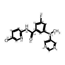 CN(c1cncnc1)c1cc(F)cc(C(=O)Nc2ccc(Cl)cn2)c1